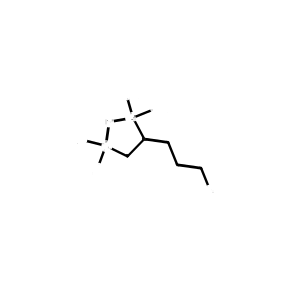 C[Si]1(C)CC(CCCBr)[Si](C)(C)N1